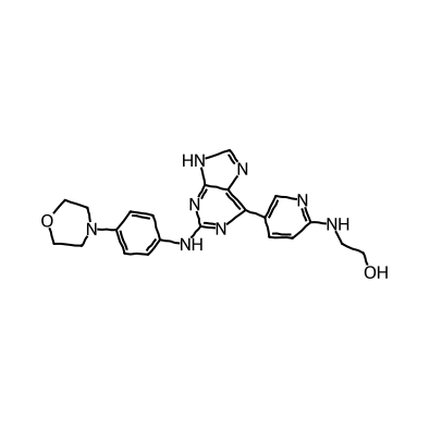 OCCNc1ccc(-c2nc(Nc3ccc(N4CCOCC4)cc3)nc3[nH]cnc23)cn1